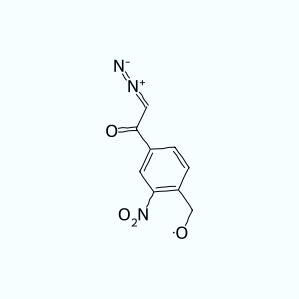 [N-]=[N+]=CC(=O)c1ccc(C[O])c([N+](=O)[O-])c1